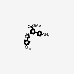 COC(=O)c1cc(-c2ccc(N)cc2)cc(-n2cc(-c3ccc(C(F)(F)F)cc3)nn2)c1